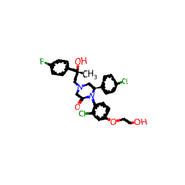 C[C@@](O)(CN1CC(=O)N(c2ccc(OCCO)cc2Cl)[C@H](c2ccc(Cl)cc2)C1)c1ccc(F)cc1